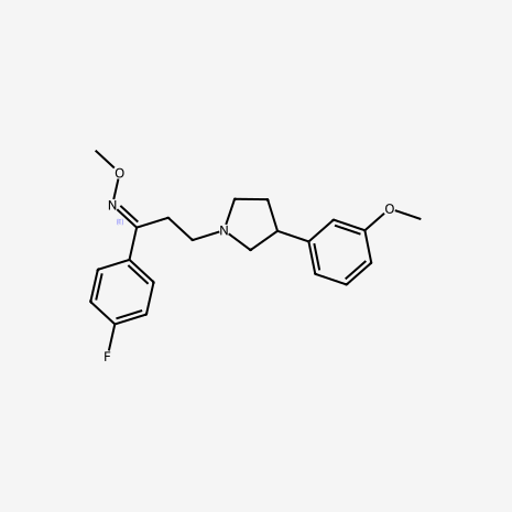 CO/N=C(\CCN1CCC(c2cccc(OC)c2)C1)c1ccc(F)cc1